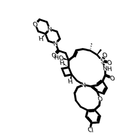 C[C@@H]1[C@@H](C)C/C=C/[C@@](O)(CC(=O)N2CCN3CCOC[C@@H]3C2)[C@@H]2CC[C@H]2CN2CCCCc3cc(Cl)ccc3COc3ccc(cc32)C(=O)NS1(=O)=O